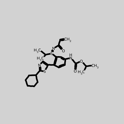 C=CC(=O)/N=S(\c1cc(NC(=O)OC(C)C)ccc1-c1cnc(C2CCCCC2)s1)C(C)C